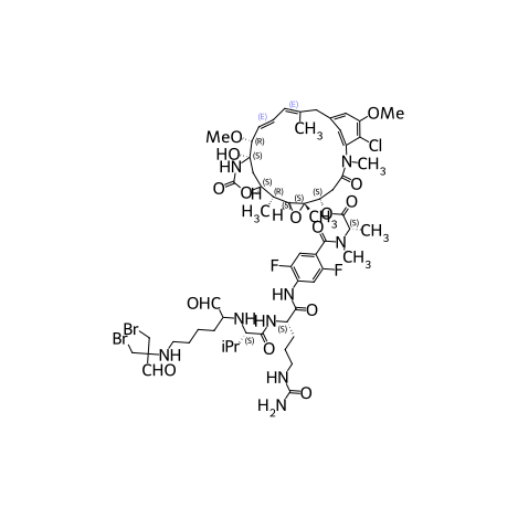 COc1cc2cc(c1Cl)N(C)C(=O)C[C@H](OC(=O)[C@H](C)N(C)C(=O)c1cc(F)c(NC(=O)[C@H](CCCNC(N)=O)NC(=O)[C@@H](NC(C=O)CCCCNC(C=O)(CBr)CBr)C(C)C)cc1F)[C@]1(C)O[C@H]1[C@H](C)[C@@H]1C[C@@](O)(NC(=O)O1)[C@H](OC)/C=C/C=C(\C)C2